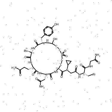 CC[C@H](C)[C@@H]1NC(=O)[C@H](Cc2ccc(O)cc2)NC(O)CCS(=O)(=O)CC[C@@H](C(=O)N(CC(=O)N[C@@H](CC(C)C)C(=O)NCC(N)=O)C2CC2)NC(=O)[C@H](CC(N)=O)NC(=O)[C@H](CCC(N)=O)NC1=O